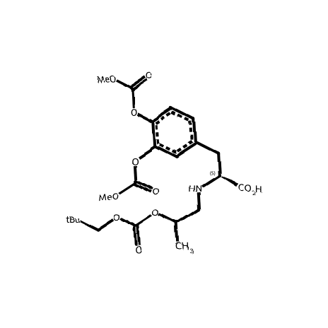 COC(=O)Oc1ccc(C[C@H](NCC(C)OC(=O)OCC(C)(C)C)C(=O)O)cc1OC(=O)OC